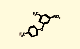 O=[N+]([O-])c1cc(Oc2ccc(C(F)(F)F)cc2)cc(C(F)(F)F)c1